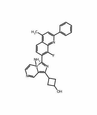 Cc1cc(-c2ccccc2)nc2c(F)c(C3=NC(C4CC(O)C4)=C4C=NC=C[N+]34N)ccc12